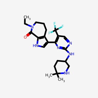 CCN1CCCc2c(-c3nc(NC4CCC(C)(C)NC4)ncc3C(F)(F)F)c[nH]c2C1=O